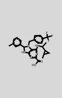 Cc1cccc(C2Nc3nc(C(=O)O)nc(NC(C)C4CC4C)c3N2Cc2ccc(C(F)(F)F)cc2)c1